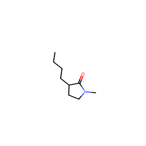 CCCCC1CCN(C)C1=O